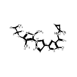 Cn1nc(OC(F)(F)C(F)C(F)(F)F)c(C(F)(F)F)c1-n1cc(-c2cnc(Cl)c(C(=O)NC3(C#N)CC3)c2)cn1